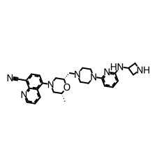 C[C@@H]1CN(c2ccc(C#N)c3ncccc23)C[C@H](CN2CCN(c3cccc(NC4CNC4)n3)CC2)O1